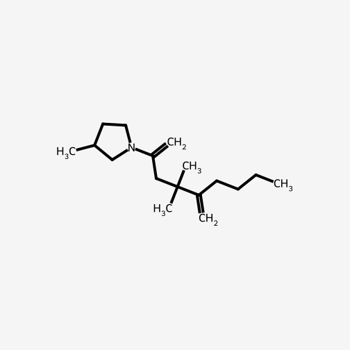 C=C(CC(C)(C)C(=C)CCCC)N1CCC(C)C1